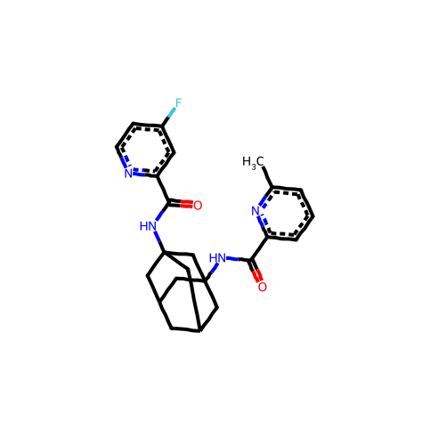 Cc1cccc(C(=O)NC23CC4CC(CC(NC(=O)c5cc(F)ccn5)(C4)C2)C3)n1